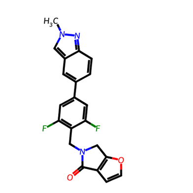 Cn1cc2cc(-c3cc(F)c(CN4Cc5occc5C4=O)c(F)c3)ccc2n1